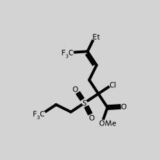 CC/C(=C/CC(Cl)(C(=O)OC)S(=O)(=O)CCC(F)(F)F)C(F)(F)F